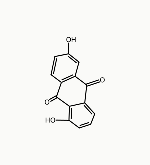 O=C1c2cc(O)ccc2C(=O)c2c(O)cccc21